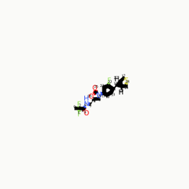 CC(F)(F)C(=O)NC[C@H]1CN(c2ccc([C@H]3[C@@H]4CSC[C@@H]43)c(F)c2)C(=O)O1